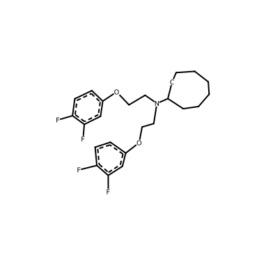 Fc1ccc(OCCN(CCOc2ccc(F)c(F)c2)C2CCCCCCC2)cc1F